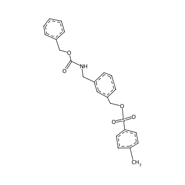 Cc1ccc(S(=O)(=O)OCc2cccc(CNC(=O)OCc3ccccc3)c2)cc1